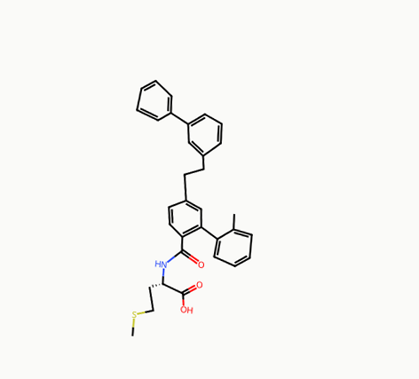 CSCC[C@H](NC(=O)c1ccc(CCc2cccc(-c3ccccc3)c2)cc1-c1ccccc1C)C(=O)O